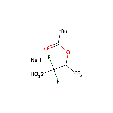 CC(C)(C)C(=O)OC(C(F)(F)F)C(F)(F)S(=O)(=O)O.[NaH]